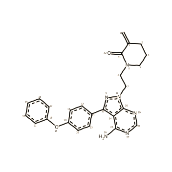 C=C1CCCN(CCn2nc(-c3ccc(Oc4ccccc4)cc3)c3c(N)ncnc32)C1=O